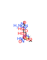 COc1nc(N)nc2c1ncn2C1OC(CO[P@@](=O)(N[C@H](C)C(=O)OC(C)C)SCC2C(=O)NC(=O)N2C)[C@@H](O)[C@@]1(C)O